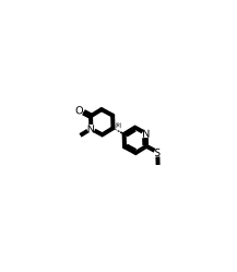 CSc1ccc([C@H]2CCC(=O)N(C)C2)cn1